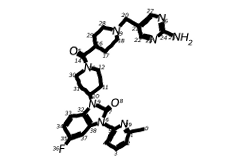 Cc1cccc(-n2c(=O)n(C3CCN(C(=O)C4CCN(Cc5cnc(N)nc5)CC4)CC3)c3ccc(F)cc32)n1